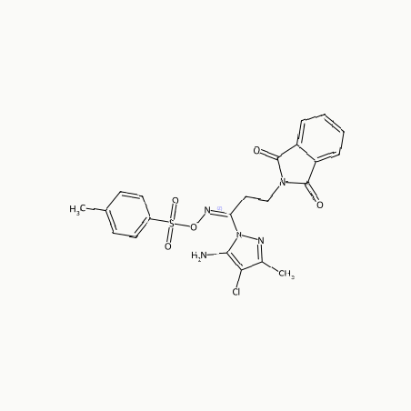 Cc1ccc(S(=O)(=O)O/N=C(/CCN2C(=O)c3ccccc3C2=O)n2nc(C)c(Cl)c2N)cc1